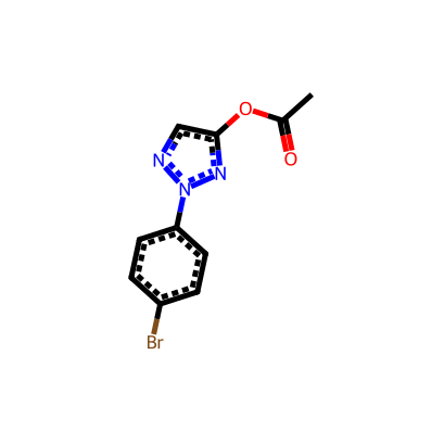 CC(=O)Oc1cnn(-c2ccc(Br)cc2)n1